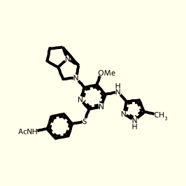 COc1c(Nc2cc(C)[nH]n2)nc(Sc2ccc(NC(C)=O)cc2)nc1N1CC2CCC3C1N23